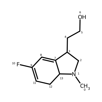 CN1CC(CCO)C2=CC(F)=CCC21